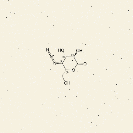 [N-]=[N+]=N[C@H]1[C@H](O)[C@@H](O)C(=O)O[C@@H]1CO